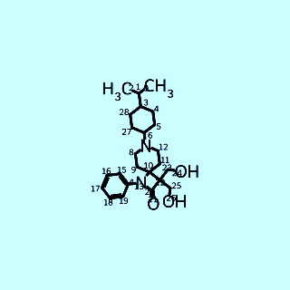 CC(C)C1CCC(N2CCC3(CC2)N(c2ccccc2)C(=O)C3(CO)CO)CC1